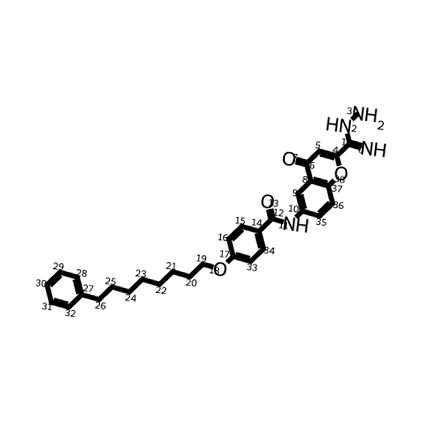 N=C(NN)c1cc(=O)c2cc(NC(=O)c3ccc(OCCCCCCCCc4ccccc4)cc3)ccc2o1